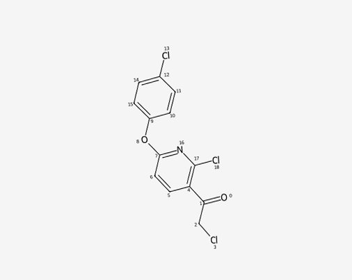 O=C(CCl)c1ccc(Oc2ccc(Cl)cc2)nc1Cl